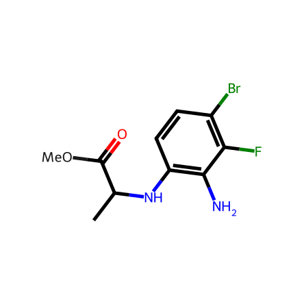 COC(=O)C(C)Nc1ccc(Br)c(F)c1N